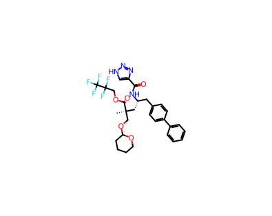 C[C@@](COC1CCCCO1)(C[C@@H](Cc1ccc(-c2ccccc2)cc1)NC(=O)c1c[nH]nn1)C(=O)OCC(F)(F)C(F)(F)F